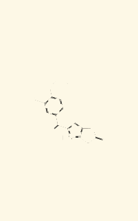 COc1ccc(C(=O)c2cc3c([nH]2)CC(=O)O3)cc1Cl